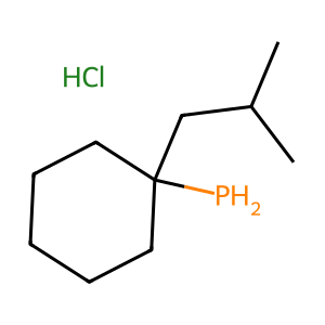 CC(C)CC1(P)CCCCC1.Cl